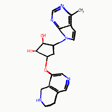 Cc1ncnc2c1ccn2C1CC(Oc2cncc3c2CNCC3)[C@@H](O)[C@H]1O